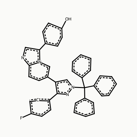 Oc1ccc(-c2cnc3ccc(-c4cn(C(c5ccccc5)(c5ccccc5)c5ccccc5)nc4-c4ccc(F)cc4)cn23)cc1